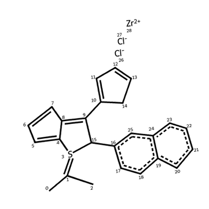 CC(C)=S1C2=CC=CC2=C(C2=CC=CC2)C1c1ccc2ccccc2c1.[Cl-].[Cl-].[Zr+2]